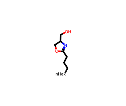 CCCCCCCCCC1=NC(CO)CO1